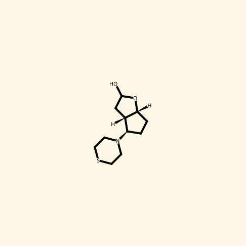 OC1C[C@H]2[C@H](N3CCSCC3)CC[C@H]2O1